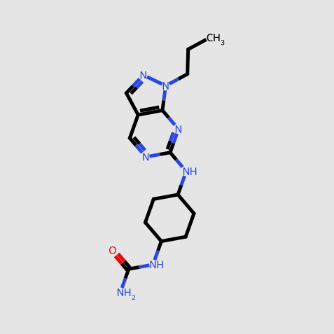 CCCn1ncc2cnc(NC3CCC(NC(N)=O)CC3)nc21